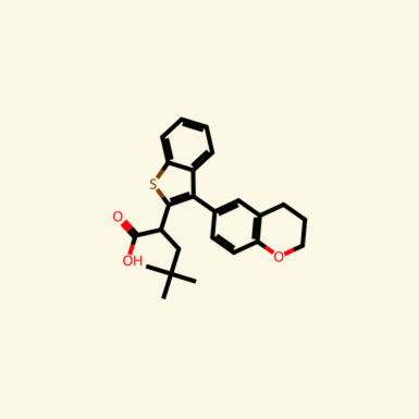 CC(C)(C)CC(C(=O)O)c1sc2ccccc2c1-c1ccc2c(c1)CCCO2